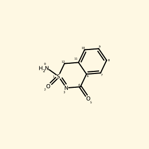 NS1(=O)=NC(=O)c2ccccc2C1